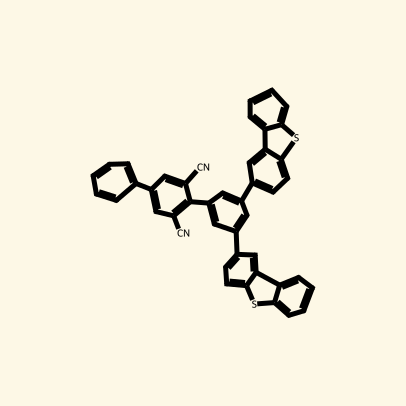 N#Cc1cc(-c2ccccc2)cc(C#N)c1-c1cc(-c2ccc3sc4ccccc4c3c2)cc(-c2ccc3sc4ccccc4c3c2)c1